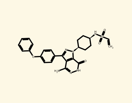 C=CS(=O)(=O)N[C@H]1CC[C@@H](n2nc(-c3ccc(Oc4ccccc4)cc3)c3c(N)n[nH]c(=O)c32)CC1